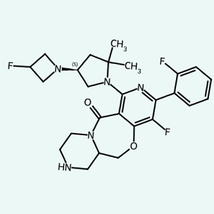 CC1(C)C[C@H](N2CC(F)C2)CN1c1nc(-c2ccccc2F)c(F)c2c1C(=O)N1CCNCC1CO2